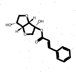 O=C(/C=C/c1ccccc1)O[C@@]1(O)CO[C@@H]2[C@H](O)CO[C@@H]21